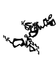 CCc1ccc(N(CC(C)C)S(=O)(=O)c2ccc(NCC3CCS(=O)(=O)C3)c(S(C)(=N)=O)c2)cc1